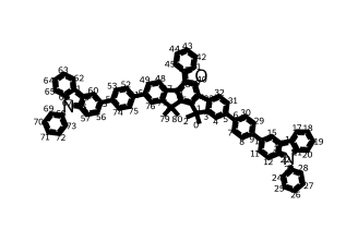 CC1(C)c2cc(-c3ccc(-c4ccc5c(c4)c4ccccc4n5-c4ccccc4)cc3)ccc2-c2c1c1c(c3c2oc2ccccc23)-c2ccc(-c3ccc(-c4ccc5c(c4)c4ccccc4n5-c4ccccc4)cc3)cc2C1(C)C